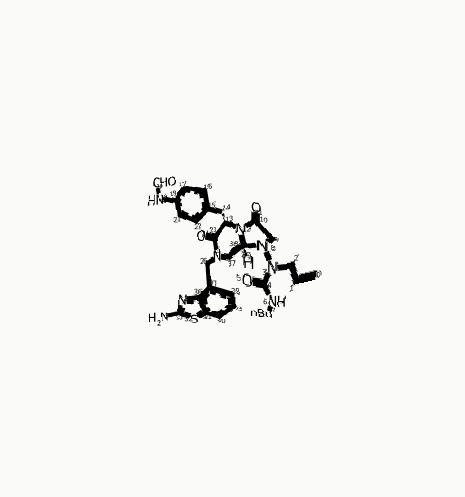 C=CCN(C(=O)NCCCC)N1CC(=O)N2[C@@H](Cc3ccc(NC=O)cc3)C(=O)N(Cc3cccc4sc(N)nc34)C[C@@H]21